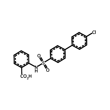 O=C(O)c1ccccc1NS(=O)(=O)c1ccc(-c2ccc(Cl)cc2)cc1